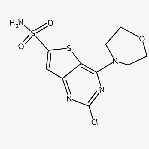 NS(=O)(=O)c1cc2nc(Cl)nc(N3CCOCC3)c2s1